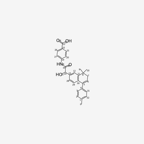 Cc1ccc(C2=CCC(C)(C)c3cc(C(O)C(=O)Nc4ccc(C(=O)O)cc4)ccc32)cc1